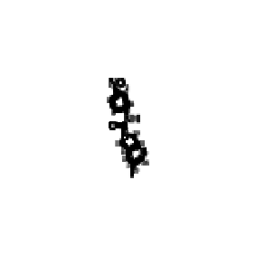 O=C(Nc1ccc([N+](=O)[O-])cc1)N1Cc2cc(F)cnc2C1